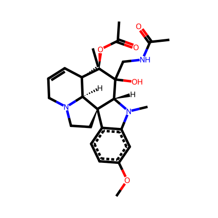 CC[C@]12C=CCN3CC[C@@]4(c5ccc(OC)cc5N(C)[C@H]4C(O)(CNC(C)=O)[C@@H]1OC(C)=O)[C@@H]32